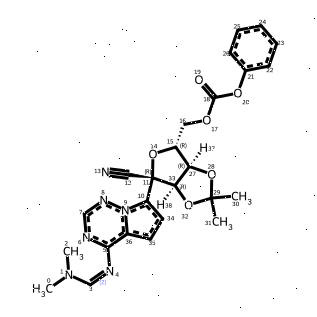 CN(C)/C=N\c1ncnn2c([C@]3(C#N)O[C@H](COC(=O)Oc4ccccc4)[C@H]4OC(C)(C)O[C@H]43)ccc12